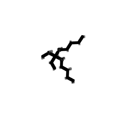 CCCCOC(CC)(OCCCC)SC